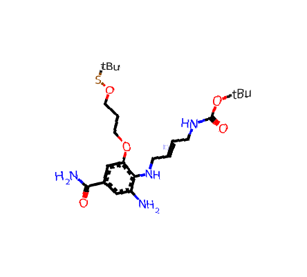 CC(C)(C)OC(=O)NC/C=C/CNc1c(N)cc(C(N)=O)cc1OCCCOSC(C)(C)C